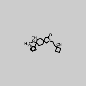 CN(C)C1(c2cccs2)CCC2(CC1)CC(=O)N(CCC1(C#N)CCC1)C2